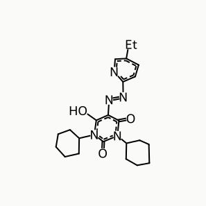 CCc1ccc(N=Nc2c(O)n(C3CCCCC3)c(=O)n(C3CCCCC3)c2=O)nc1